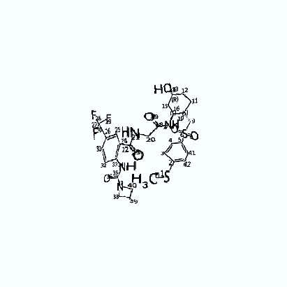 CSc1ccc(S(=O)(=O)C[C@H]2CC[C@@H](O)C[C@@H]2NC(=O)CNC(=O)c2cc(C(F)(F)F)ccc2NC(=O)N2CCC2)cc1